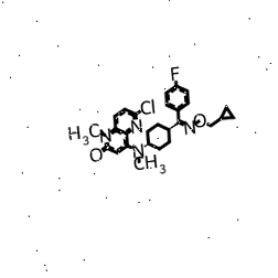 Cn1c(=O)cc(N(C)[C@H]2CC[C@H](/C(=N/OCC3CC3)c3ccc(F)cc3)CC2)c2nc(Cl)ccc21